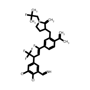 C=C(C)c1ccc(/C(F)=C/C(c2cc(Cl)c(Cl)c(C=N)c2)C(F)(F)F)cc1CC1CCN(CC(C)(C)F)C1=C